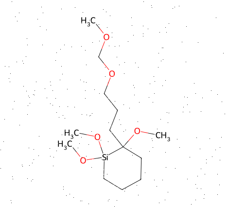 COCOCCCC1(OC)CCCC[Si]1(OC)OC